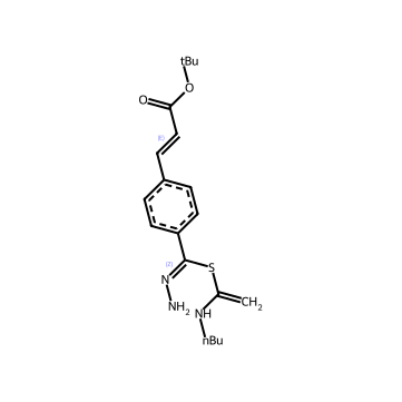 C=C(NCCCC)S/C(=N\N)c1ccc(/C=C/C(=O)OC(C)(C)C)cc1